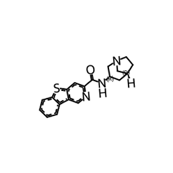 O=C(N[C@@H]1C[C@H]2CCN(C2)C1)c1cc2sc3ccccc3c2cn1